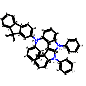 CC1(C)c2ccccc2-c2ccc(N(c3ccccc3)c3cccc4c3c3c5ccccc5n(-c5ccccc5)c3n4-c3ccccc3)cc21